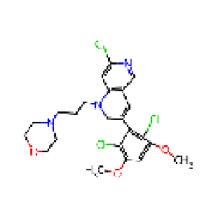 COc1cc(OC)c(Cl)c(C2=Cc3cnc(Cl)cc3N(CCCN3CCOCC3)C2)c1Cl